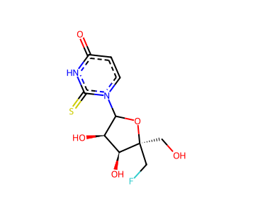 O=c1ccn(C2O[C@@](CO)(CF)[C@@H](O)[C@H]2O)c(=S)[nH]1